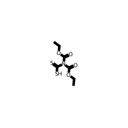 CCOC(=O)N(C(=O)OCC)C(=S)S